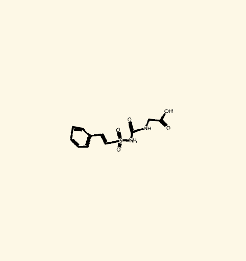 O=C(O)CNC(=O)NS(=O)(=O)/C=C/c1ccccc1